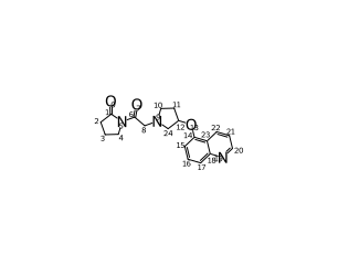 O=C1CCCN1C(=O)CN1CCC(Oc2cccc3ncccc23)C1